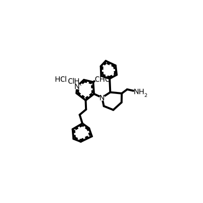 Cl.Cl.NCC1CCCN(c2c(C=O)cncc2CCc2ccccc2)C1c1ccccc1